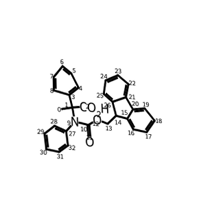 CC(C(=O)O)(c1ccccc1)N(C(=O)OCC1c2ccccc2-c2ccccc21)c1ccccc1